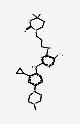 CN1CCN(c2ccc(Nc3ncc(C(F)(F)F)c(NCCCN4CCC(C)(C)OC4=O)n3)c(C3CC3)c2)CC1